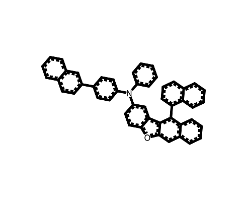 c1ccc(N(c2ccc(-c3ccc4ccccc4c3)cc2)c2ccc3oc4cc5ccccc5c(-c5cccc6ccccc56)c4c3c2)cc1